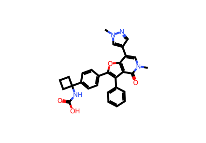 Cn1cc(-c2cn(C)c(=O)c3c(-c4ccccc4)c(-c4ccc(C5(NC(=O)O)CCC5)cc4)oc23)cn1